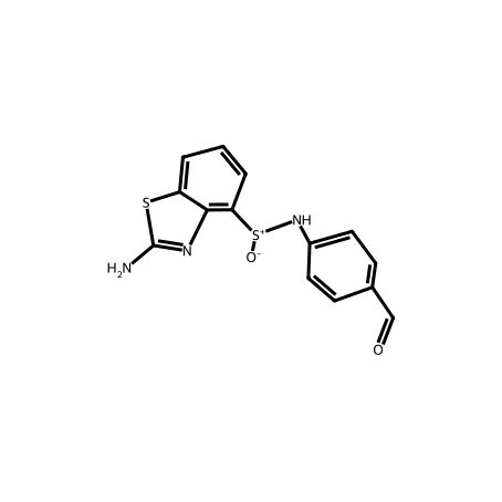 Nc1nc2c([S+]([O-])Nc3ccc(C=O)cc3)cccc2s1